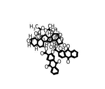 CC(=O)O[C@H]1C2C([C@@H](OC(=O)c3ccc4c(c3)C(=O)c3ccccc3C4=O)C[C@H]3C[C@@H]4O[C@@H]4[C@H](O)[C@]23C)[C@@H]2[C@@H](O)[C@@H]3[C@H]([C@H](C)[C@H]4O[C@]45OC(=O)[C@@](C)(OC(=O)c4ccc6c(c4)C(=O)c4ccccc4C6=O)[C@]35C)[C@@]2(C)[C@H]1OC(C)=O